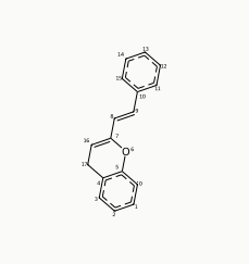 [c]1cccc2c1OC(C=Cc1ccccc1)=CC2